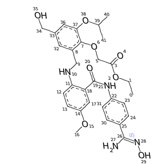 CCOC(=O)COc1c(CNc2ccc(OC)cc2C(=O)Nc2ccc(/C(N)=N/O)cc2)cc(CO)cc1OC(C)C